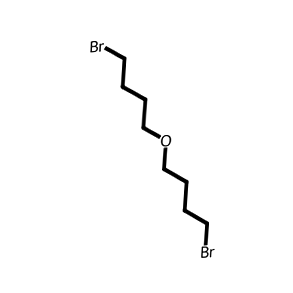 BrCCCCOCCCCBr